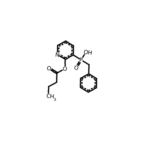 CCCC(=O)Oc1ncccc1P(=O)(O)Cc1ccccc1